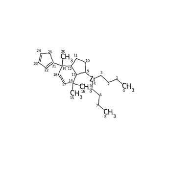 CCC[CH2][Zr]([CH2]CCC)[CH]1CCC2C1C(C)(C)C=CC2(C)C1=CC=CC1